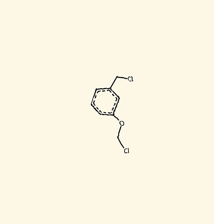 ClCOc1cccc(CCl)c1